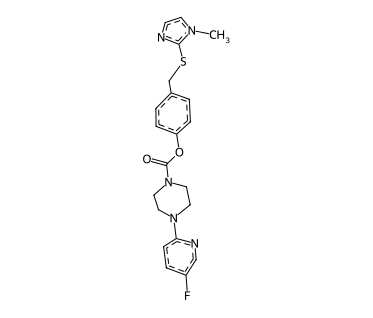 Cn1ccnc1SCc1ccc(OC(=O)N2CCN(c3ccc(F)cn3)CC2)cc1